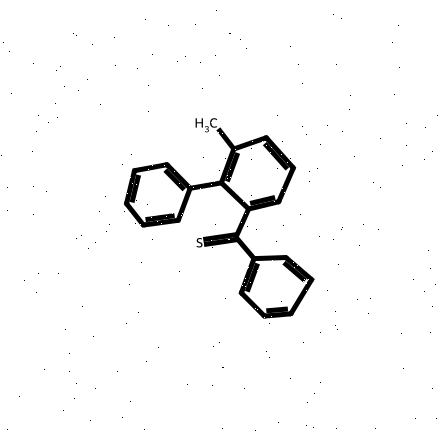 Cc1cccc(C(=S)c2ccccc2)c1-c1ccccc1